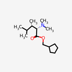 CC(C)[C@H](C)[C@@H](C(=O)OCC1CCCC1)N(C)C